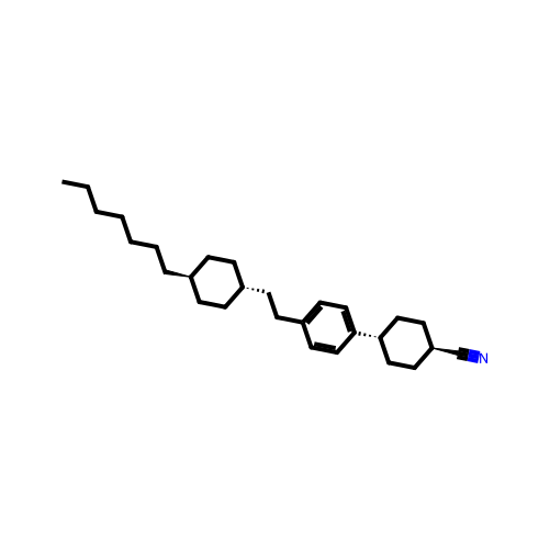 CCCCCCC[C@H]1CC[C@H](CCc2ccc([C@H]3CC[C@H](C#N)CC3)cc2)CC1